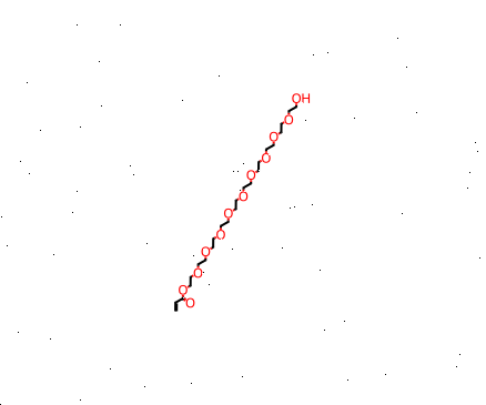 C=CC(=O)OCCOCCOCCOCCOCCOCCOCCOCCOCCOCCO